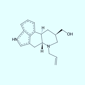 C=CCN1C[C@H](CO)C[C@@H]2c3cccc4[nH]cc(c34)C[C@H]21